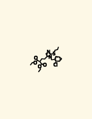 CCCSc1ncc(CCC(C(=O)OCC)C(=O)OCC)n1Cc1ccccc1Cl